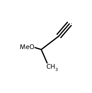 [C]#CC(C)OC